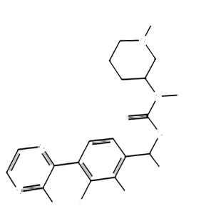 CC(NC(=O)N(C)C1CCCN(C)C1)c1ccc(-c2nccnc2F)c(Cl)c1Cl